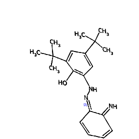 CC(C)(C)c1cc(N/N=C2/C=CC=CC2=N)c(O)c(C(C)(C)C)c1